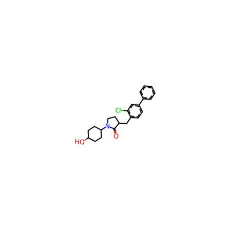 O=C1C(Cc2ccc(-c3ccccc3)cc2Cl)CCN1C1CCC(O)CC1